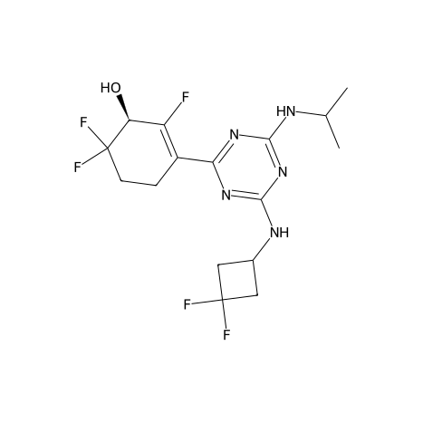 CC(C)Nc1nc(NC2CC(F)(F)C2)nc(C2=C(F)[C@H](O)C(F)(F)CC2)n1